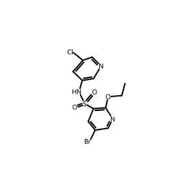 CCOc1ncc(Br)cc1S(=O)(=O)Nc1cncc(Cl)c1